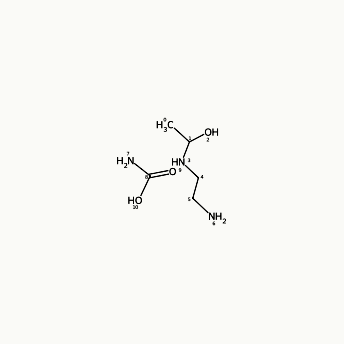 CC(O)NCCN.NC(=O)O